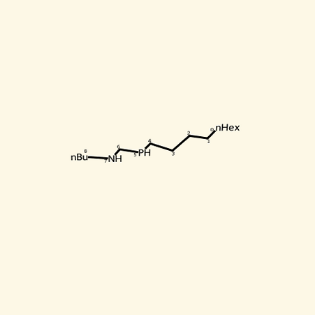 CCCCCCCCCCPCNCCCC